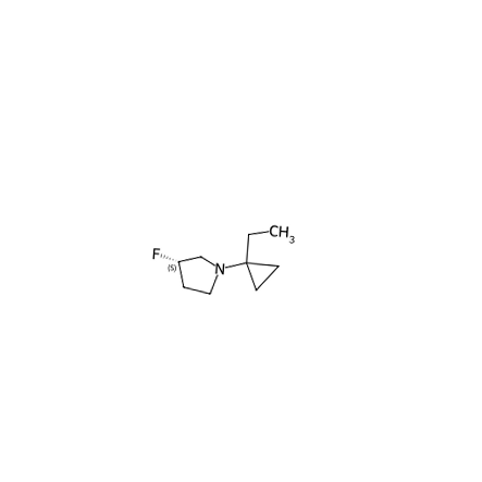 CCC1(N2CC[C@H](F)C2)CC1